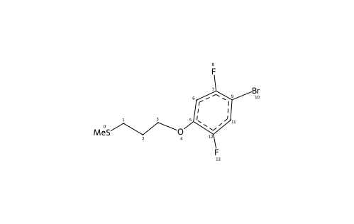 CSCCCOc1cc(F)c(Br)cc1F